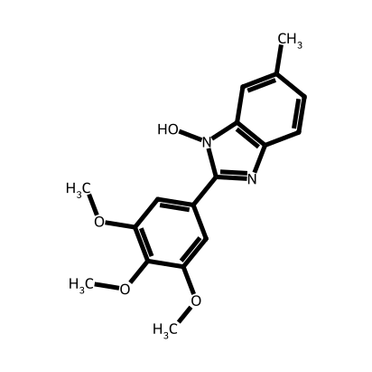 COc1cc(-c2nc3ccc(C)cc3n2O)cc(OC)c1OC